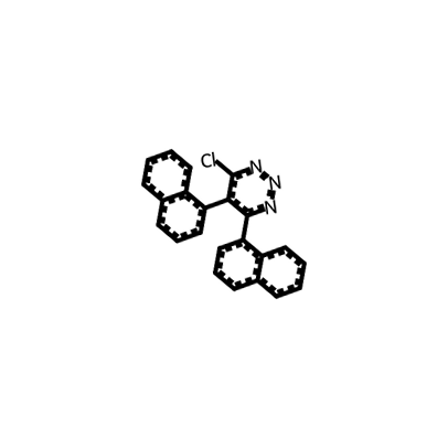 Clc1nnnc(-c2cccc3ccccc23)c1-c1cccc2ccccc12